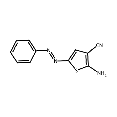 N#Cc1cc(N=Nc2ccccc2)sc1N